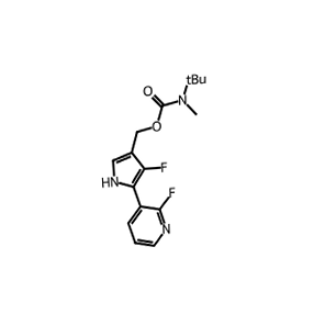 CN(C(=O)OCc1c[nH]c(-c2cccnc2F)c1F)C(C)(C)C